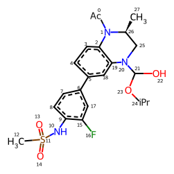 CC(=O)N1c2ccc(-c3ccc(NS(C)(=O)=O)c(F)c3)cc2N(C(O)OC(C)C)C[C@@H]1C